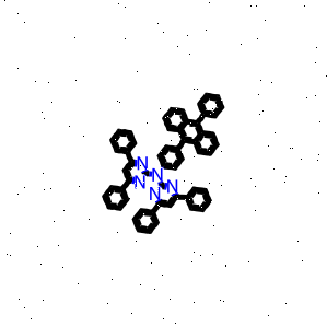 c1ccc(-c2cc(-c3ccccc3)nc(N(c3ccc(-c4c5ccccc5c(-c5ccccc5)c5ccccc45)cc3)c3nc(-c4ccccc4)cc(-c4ccccc4)n3)n2)cc1